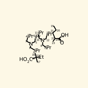 CC(C)CN(CC(C)C)CC(C)C.CC(C)CN(CC(C)C)CC(C)C.CCC(C)(C)C(=O)O.CCCC(C)C(=O)O